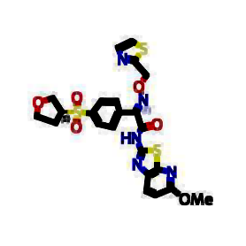 COc1ccc2nc(NC(=O)/C(=N/OCc3nccs3)c3ccc(S(=O)(=O)[C@H]4CCOC4)cc3)sc2n1